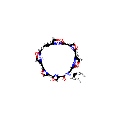 CC(C)[C@@H]1NC(=O)c2coc(n2)-c2coc(n2)-c2coc(n2)C/C=C/c2coc(n2)-c2coc(n2)-c2coc1n2